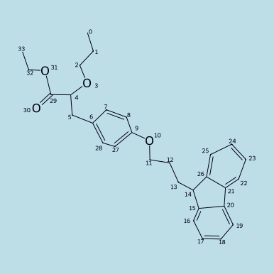 CCCOC(Cc1ccc(OCCCC2c3ccccc3-c3ccccc32)cc1)C(=O)OCC